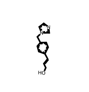 OCC=Cc1ccc(Cn2ccnc2)cc1